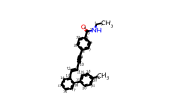 CCNC(=O)c1ccc(C#C/C=C/c2ccccc2-c2ccc(C)cc2)cc1